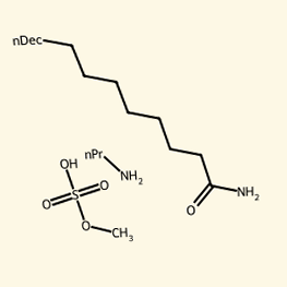 CCCCCCCCCCCCCCCCCC(N)=O.CCCN.COS(=O)(=O)O